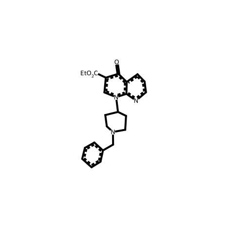 CCOC(=O)c1cn(C2CCN(Cc3ccccc3)CC2)c2ncccc2c1=O